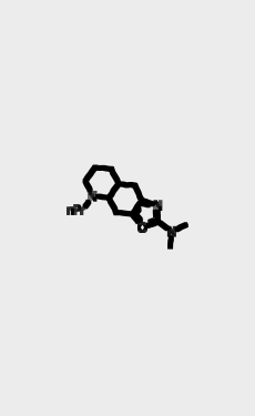 CCCN1CCCC2Cc3nc(N(C)C)oc3CC21